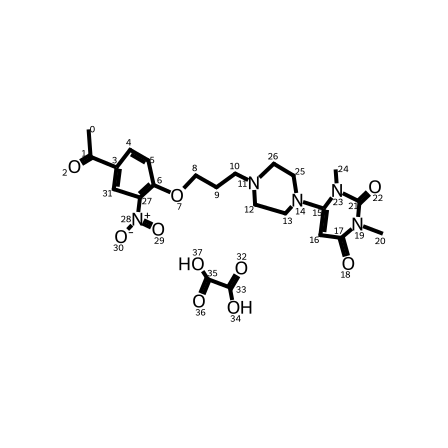 CC(=O)c1ccc(OCCCN2CCN(c3cc(=O)n(C)c(=O)n3C)CC2)c([N+](=O)[O-])c1.O=C(O)C(=O)O